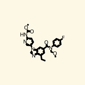 CCc1cc(C(=O)N(COC)c2ccc(F)cc2)cc2c1ncn2-c1ccc(NC(=O)OC)nc1